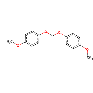 COc1ccc(OCOc2ccc(OC)cc2)cc1